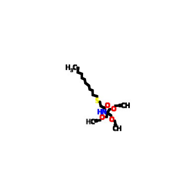 C#CCOCC(COCC#C)(COCC#C)NC(=O)CCSCCCCCCCCCCCC